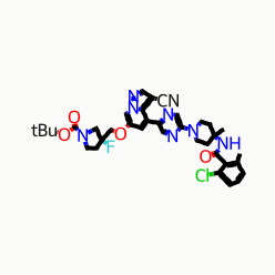 Cc1cccc(Cl)c1C(=O)NC1(C)CCN(c2cnc(-c3cc(OCC4(F)CCN(C(=O)OC(C)(C)C)C4)cn4ncc(C#N)c34)cn2)CC1